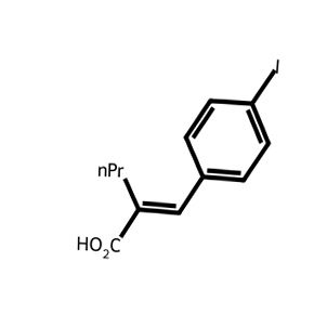 CCC/C(=C\c1ccc(I)cc1)C(=O)O